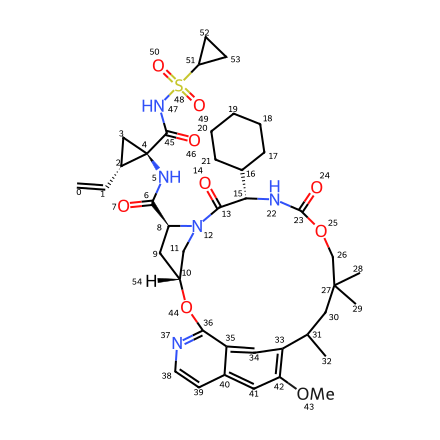 C=C[C@@H]1C[C@]1(NC(=O)[C@@H]1C[C@@H]2CN1C(=O)[C@H](C1CCCCC1)NC(=O)OCC(C)(C)CC(C)c1cc3c(nccc3cc1OC)O2)C(=O)NS(=O)(=O)C1CC1